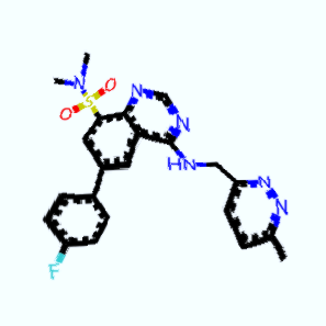 Cc1ccc(CNc2ncnc3c(S(=O)(=O)N(C)C)cc(-c4ccc(F)cc4)cc23)nn1